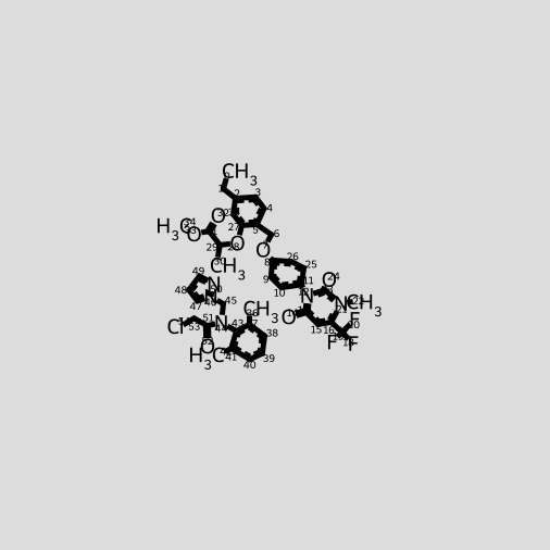 CCc1ccc(COc2ccc(-n3c(=O)cc(C(F)(F)F)n(C)c3=O)cc2)c(OC(C)C(=O)OC)c1.Cc1cccc(C)c1N(Cn1cccn1)C(=O)CCl